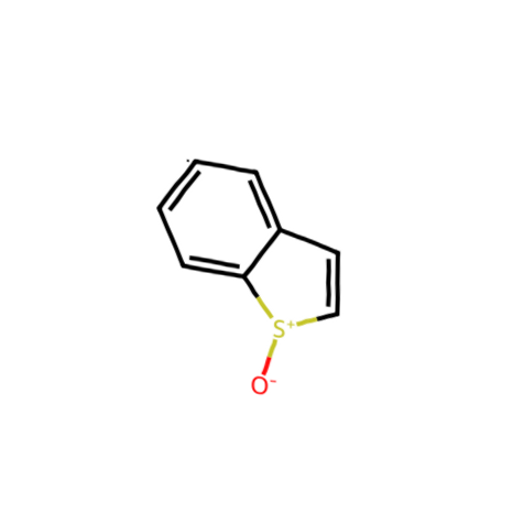 [O-][s+]1ccc2c[c]ccc21